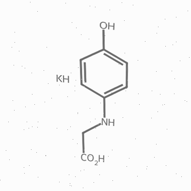 O=C(O)CNc1ccc(O)cc1.[KH]